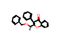 C[C@@H](OCc1ccccc1)c1oc2ccccc2c(=O)c1-c1ccccc1